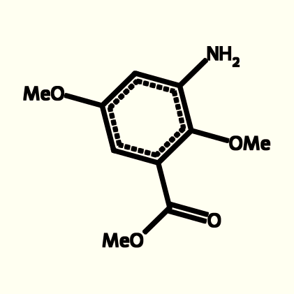 COC(=O)c1cc(OC)cc(N)c1OC